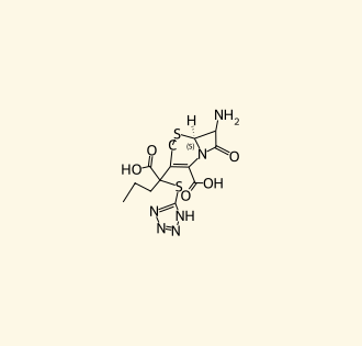 CCCC(Sc1nnn[nH]1)(C(=O)O)C1=C(C(=O)O)N2C(=O)C(N)[C@@H]2SC1